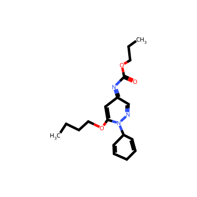 CCCCOc1cc(=NC(=O)OCCC)cnn1C1C=CCC=C1